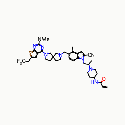 C=CC(=O)NC1CCN(C(C)Cn2c(C#N)cc3c(C)c(CN4CCC5(CCN(c6nc(NC)nc7sc(CC(F)(F)F)cc67)C5)C4)ccc32)CC1